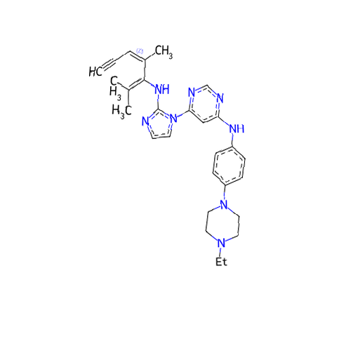 C#C/C=C(/C)C(Nc1nccn1-c1cc(Nc2ccc(N3CCN(CC)CC3)cc2)ncn1)=C(C)C